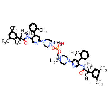 Cc1ccccc1-c1cc(N2CC[N+](C)(COP(O)O[N+]3(C)CCN(c4cc(-c5ccccc5C)c(N(C)C(=O)C(C)(C)c5cc(C(F)(F)F)cc(C(F)(F)F)c5)cn4)CC3)CC2)ncc1N(C)C(=O)C(C)(C)c1cc(C(F)(F)F)cc(C(F)(F)F)c1